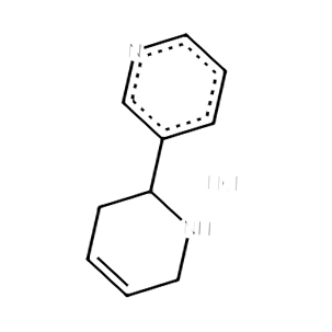 C1=CCC(c2cccnc2)NC1.Cl